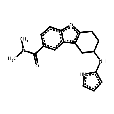 CN(C)C(=O)c1ccc2oc3c(c2c1)CC(Nc1ccc[nH]1)CC3